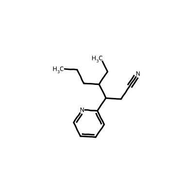 CCCC(CC)C(CC#N)c1ccccn1